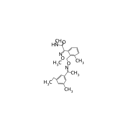 CCc1cc(C)cc(/C(C)=N/OCc2c(C)cccc2/C(=N\OC)C(=O)NC)c1